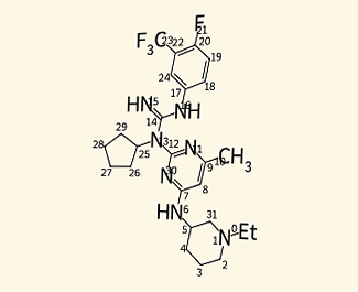 CCN1CCCC(Nc2cc(C)nc(N(C(=N)Nc3ccc(F)c(C(F)(F)F)c3)C3CCCC3)n2)C1